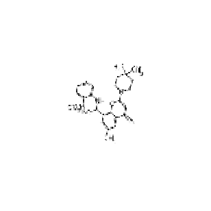 Cc1cc(C(C#N)Nc2ccccc2C(=O)O)c2oc(N3CCC(C)(C)CC3)cc(=O)c2c1